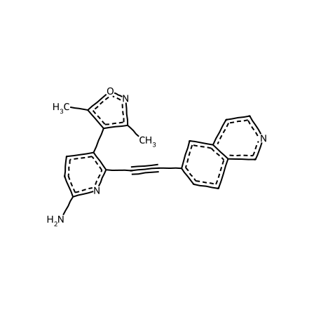 Cc1noc(C)c1-c1ccc(N)nc1C#Cc1ccc2cnccc2c1